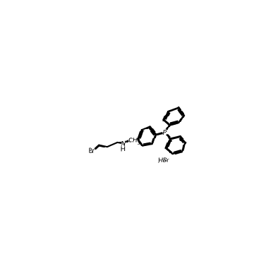 Br.CNCCCBr.c1ccc(P(c2ccccc2)c2ccccc2)cc1